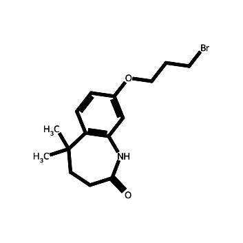 CC1(C)CCC(=O)Nc2cc(OCCCBr)ccc21